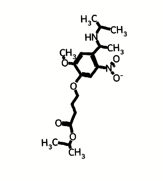 COc1cc(C(C)NC(C)C)c([N+](=O)[O-])cc1OCCCC(=O)OC(C)C